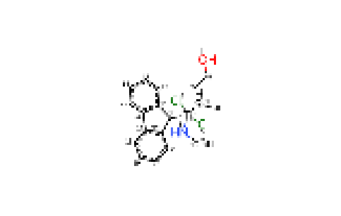 C[SiH](CCO)[Ti]([Cl])([Cl])([NH]C(C)(C)C)[CH]1c2ccccc2-c2ccccc21